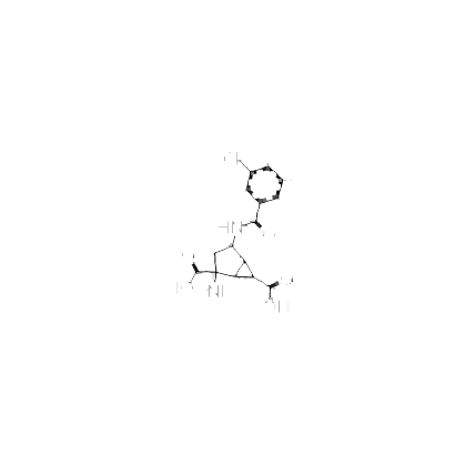 NC1(C(=O)O)CC(NC(=O)c2cccc(Cl)c2)C2C(C(=O)O)C21